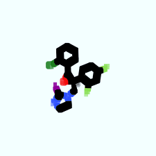 Fc1ccc([C@]2(Cn3ccnc3I)OC2c2ccccc2Cl)c(F)c1